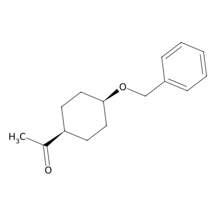 CC(=O)[C@H]1CC[C@@H](OCc2ccccc2)CC1